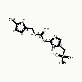 CCCS(=O)(=O)Cc1csc(NC(=O)NCc2ccc(Cl)s2)n1